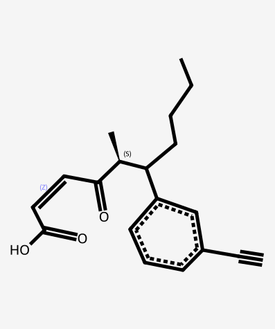 C#Cc1cccc(C(CCCC)[C@H](C)C(=O)/C=C\C(=O)O)c1